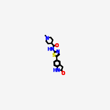 CN1CCC(C(=O)Nc2ncc(-c3ccc4c(c3)CC(=O)N4)s2)CC1